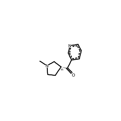 CN1CC[C@@H](C(=O)c2cccnc2)C1